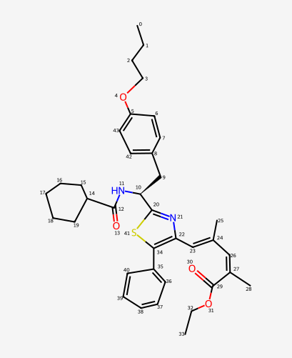 CCCCOc1ccc(C[C@H](NC(=O)C2CCCCC2)c2nc(/C=C(C)/C=C(/C)C(=O)OCC)c(-c3ccccc3)s2)cc1